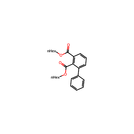 CCCCCCOC(=O)c1cccc(-c2ccccc2)c1C(=O)OCCCCCC